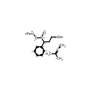 C=C=C(C)C.CCCCCCCCCCCCC(c1ccccc1)N(CC)OCCCCC